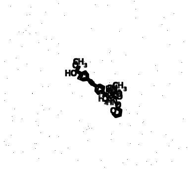 CNC(=O)C(C)(C(=O)NOC1CCCCO1)N(C)C(=O)c1ccc(C#Cc2ccc(C(O)COC)cc2)cc1